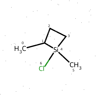 CC1CC[Si]1(C)Cl